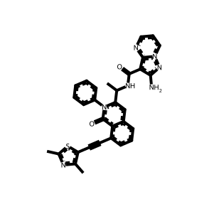 Cc1nc(C)c(C#Cc2cccc3cc(C(C)NC(=O)c4c(N)nn5cccnc45)n(-c4ccccc4)c(=O)c23)s1